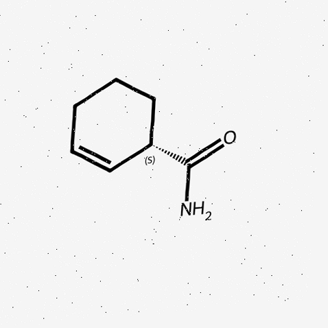 NC(=O)[C@@H]1C=CCCC1